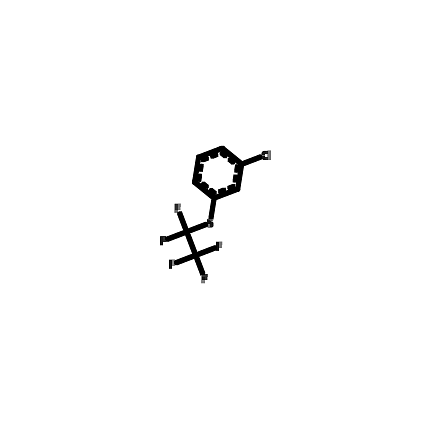 FC(F)(F)C(F)(F)Sc1cccc(Cl)c1